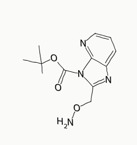 CC(C)(C)OC(=O)n1c(CON)nc2cccnc21